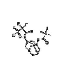 CC(C)(I)C(=O)OC12CC3CC(C1)CC(OC(=O)C(F)(F)S(=O)(=O)O)(C3)C2